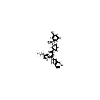 Bc1cnn2c(NCc3cccnc3)cc(C3CCCN([S+]([O-])c4cccc(C)c4)C3)nc12